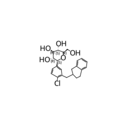 OC[C@H]1O[C@@H](c2ccc(Cl)c(CC3CCc4ccccc4C3)c2)[C@H](O)[C@@H](O)[C@@H]1O